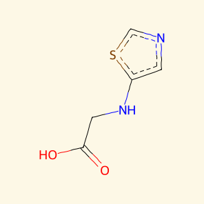 O=C(O)CNc1cncs1